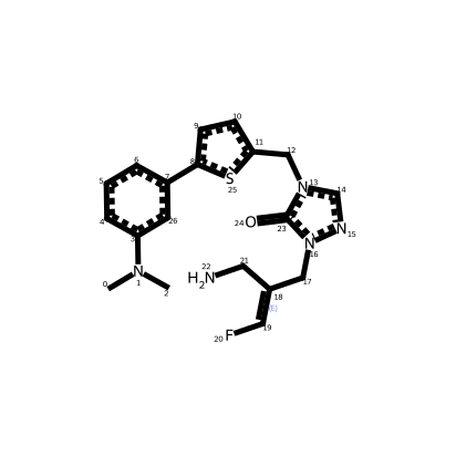 CN(C)c1cccc(-c2ccc(Cn3cnn(C/C(=C/F)CN)c3=O)s2)c1